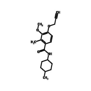 C#CCOc1ccc(C(=O)NC2CCC(C)CC2)c(C)c1OC